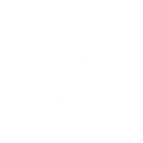 CCCCCCCCCCCCCC(=O)OCCN1CCS(=O)(=O)CC1